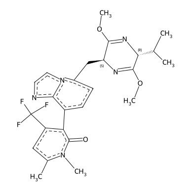 COC1=N[C@H](C(C)C)C(OC)=N[C@H]1Cc1ccc(-c2c(C(F)(F)F)cc(C)n(C)c2=O)c2nccn12